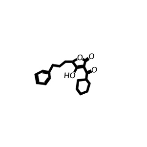 O=C1OC(CCCc2ccccc2)C(O)=C1C(=O)C1CCCCC1